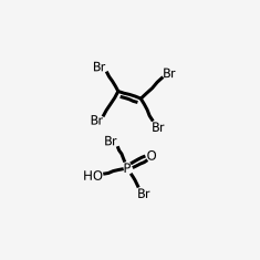 BrC(Br)=C(Br)Br.O=P(O)(Br)Br